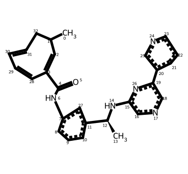 CC1\C=C(C(=O)Nc2cccc([C@H](C)Nc3cncc(-c4cccnc4)n3)c2)/C=C\C=C\C1